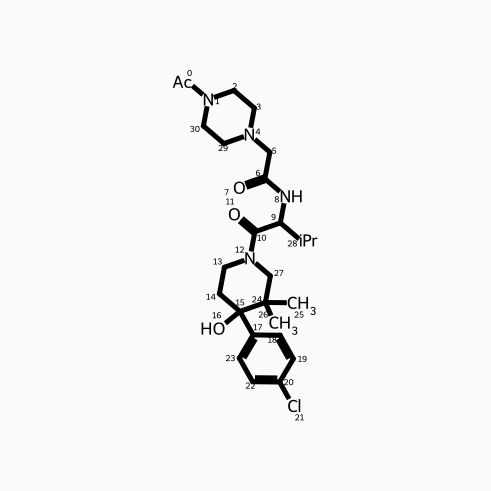 CC(=O)N1CCN(CC(=O)NC(C(=O)N2CCC(O)(c3ccc(Cl)cc3)C(C)(C)C2)C(C)C)CC1